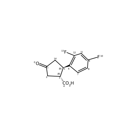 O=C1C[C@@H](C(=O)O)[C@H](c2ccc(F)cc2F)C1